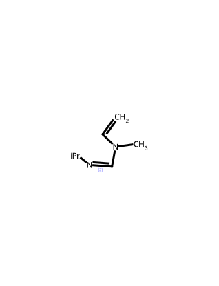 C=CN(C)/C=N\C(C)C